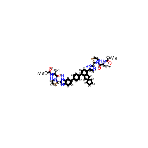 COC(=O)N[C@H](C(=O)N1CCS[C@H]1c1ncc(-c2ccc(-c3ccc(-c4ccc5nc([C@@H]6SCCN6C(=O)[C@@H](NC(=O)OC)C(C)C)[nH]c5c4)cc3)c3c2CC2(CCCC2)C3)[nH]1)C(C)C